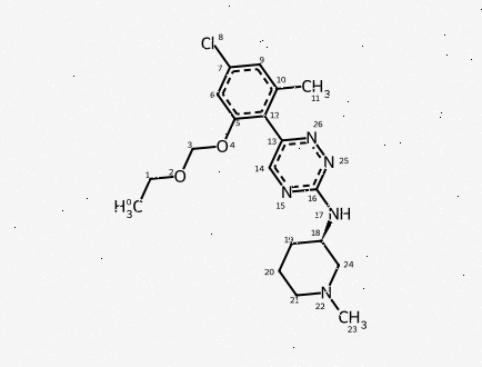 CCOCOc1cc(Cl)cc(C)c1-c1cnc(N[C@@H]2CCCN(C)C2)nn1